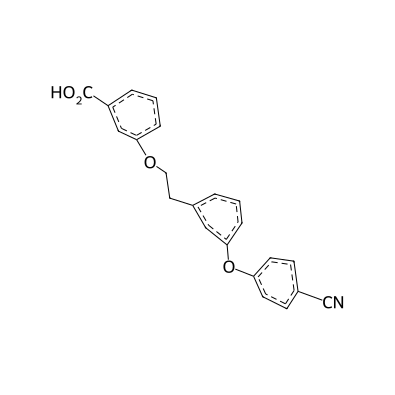 N#Cc1ccc(Oc2cccc(CCOc3cccc(C(=O)O)c3)c2)cc1